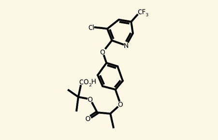 CC(Oc1ccc(Oc2ncc(C(F)(F)F)cc2Cl)cc1)C(=O)OC(C)(C)C(=O)O